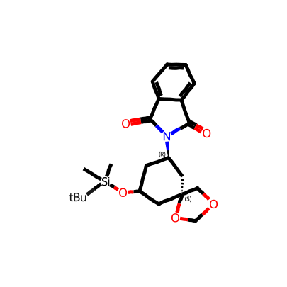 CC(C)(C)[Si](C)(C)OC1C[C@@H](N2C(=O)c3ccccc3C2=O)C[C@@]2(COCO2)C1